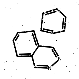 c1ccc2cnncc2c1.c1ccccc1